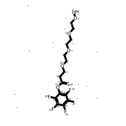 CCCOCCOCCOCCOCCC(=S)Oc1c(F)c(C)c(F)c(F)c1F